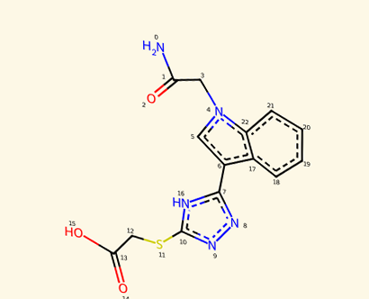 NC(=O)Cn1cc(-c2nnc(SCC(=O)O)[nH]2)c2ccccc21